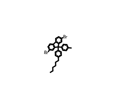 CCCCCCc1ccc(C2(c3ccc(C)cc3)c3cc(Br)ccc3-c3ccc(Br)cc32)cc1